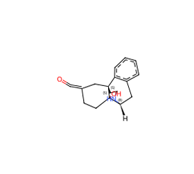 O=C=C1CC[C@@]2(O)[C@H]3Cc4ccccc4[C@@]2(CCN3)C1